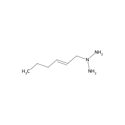 CCCC=CCN(N)N